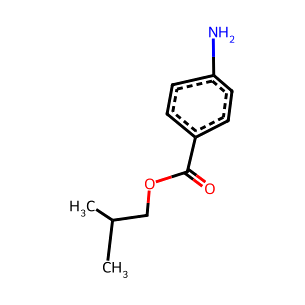 CC(C)COC(=O)c1ccc(N)cc1